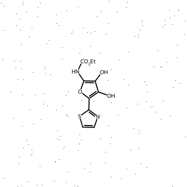 CCOC(=O)Nc1oc(-c2nccs2)c(O)c1O